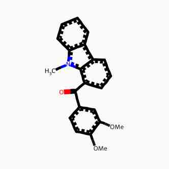 COc1ccc(C(=O)c2cccc3c4ccccc4n(C)c23)cc1OC